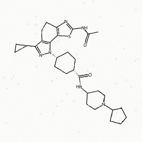 CC(=O)Nc1nc2c(s1)-c1c(c(C3CC3)nn1[C@H]1CC[C@@H](C(=O)NC3CCN(C4CCCC4)CC3)CC1)CC2